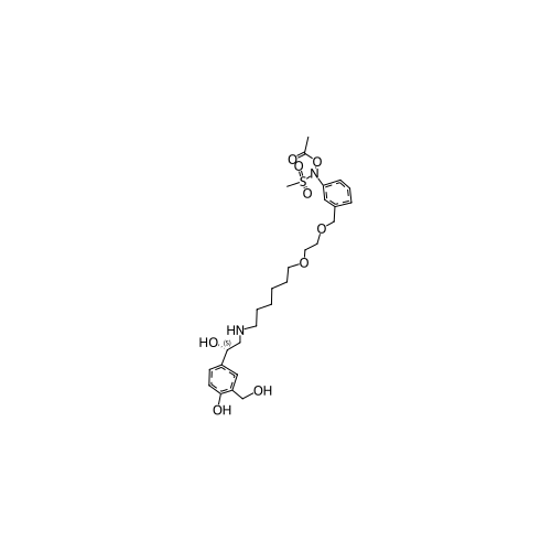 CC(=O)ON(c1cccc(COCCOCCCCCCNC[C@@H](O)c2ccc(O)c(CO)c2)c1)S(C)(=O)=O